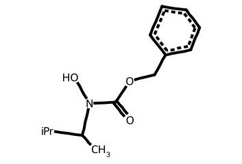 CC(C)C(C)N(O)C(=O)OCc1ccccc1